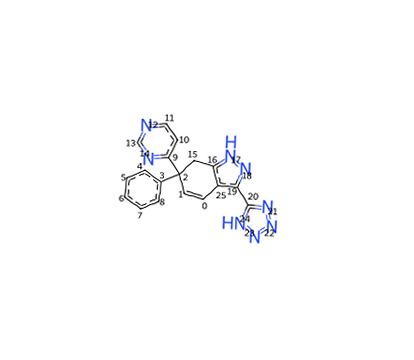 C1=CC(c2ccccc2)(c2ccncn2)Cc2[nH]nc(-c3nnn[nH]3)c21